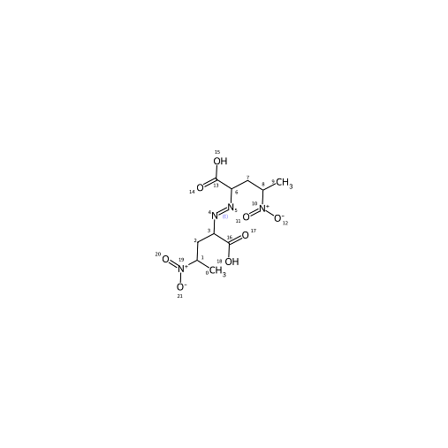 CC(CC(/N=N/C(CC(C)[N+](=O)[O-])C(=O)O)C(=O)O)[N+](=O)[O-]